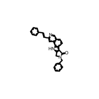 O=C1c2c([nH]c3c2ccc2cnc(C=Cc4ccccc4)cc23)CN1Cc1ccccc1